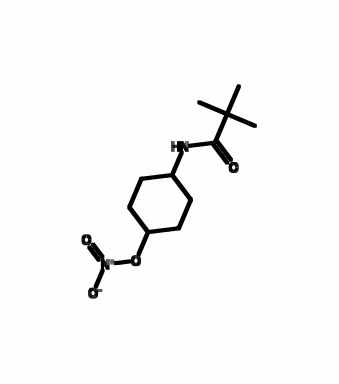 CC(C)(C)C(=O)NC1CCC(O[N+](=O)[O-])CC1